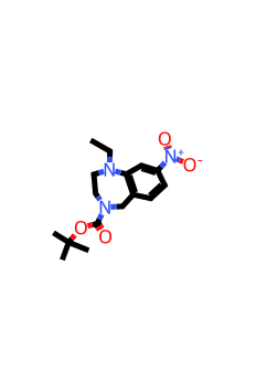 CCN1CCN(C(=O)OC(C)(C)C)Cc2ccc([N+](=O)[O-])cc21